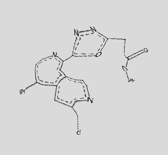 CC(C)OC(=O)Cc1nnc(-c2ncc(C(C)C)c3cc(Cl)ncc23)o1